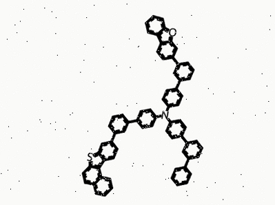 c1ccc(-c2cccc(-c3ccc(N(c4ccc(-c5cccc(-c6ccc7c(c6)oc6ccccc67)c5)cc4)c4ccc(-c5cccc(-c6ccc7c(c6)sc6ccc8ccccc8c67)c5)cc4)cc3)c2)cc1